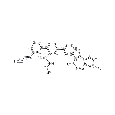 CNC(=O)c1c(-c2ccc(F)cc2)oc2ccc(-c3ccc(-c4cccc(/C=C/C(=O)O)c4)c(C(=O)NCC(C)C)c3)cc12